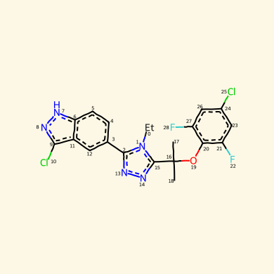 CCn1c(-c2ccc3[nH]nc(Cl)c3c2)nnc1C(C)(C)Oc1c(F)cc(Cl)cc1F